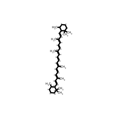 C[C]1C[CH]CC(C)(C)[C]1/C=C/C(C)=C/C=C/C(C)=C/C=C/C=C(C)/C=C/C=C(C)/C=C/[C]1[C](C)C[CH]CC1(C)C